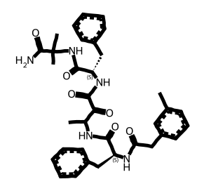 Cc1cccc(CC(=O)N[C@@H](Cc2ccccc2)C(=O)NC(C)C(=O)C(=O)N[C@@H](Cc2ccccc2)C(=O)NC(C)(C)C(N)=O)c1